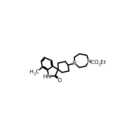 CCOC(=O)N1CCCN(C2CCC3(CC2)C(=O)Nc2c(C)cccc23)CC1